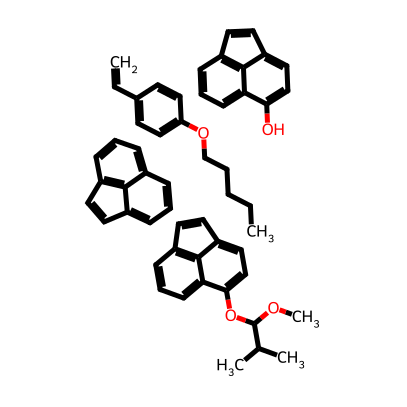 C1=Cc2cccc3cccc1c23.C=Cc1ccc(OCCCCC)cc1.COC(Oc1ccc2c3c(cccc13)C=C2)C(C)C.Oc1ccc2c3c(cccc13)C=C2